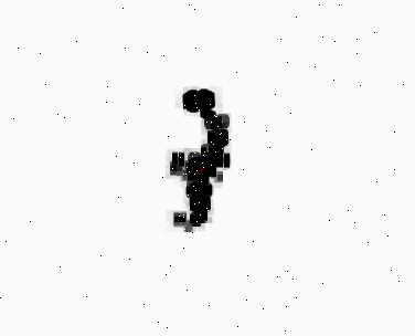 COc1ccc(S(=O)(=O)c2cc(CN(NC(=O)CC3CCN(C(=O)OCCc4cccc5ccccc45)CC3)OC(C)(C)C)ccn2)cc1